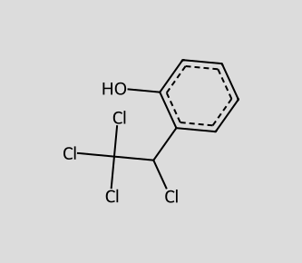 Oc1ccccc1C(Cl)C(Cl)(Cl)Cl